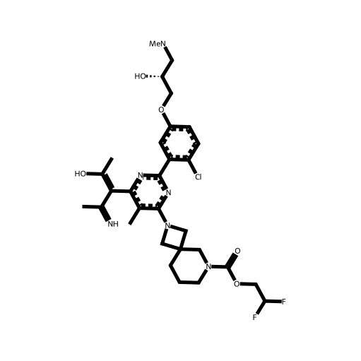 CNC[C@@H](O)COc1ccc(Cl)c(-c2nc(/C(C(C)=N)=C(\C)O)c(C)c(N3CC4(CCCN(C(=O)OCC(F)F)C4)C3)n2)c1